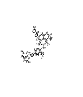 C=C1CN2CC(=C)CC2(COc2nc3c(c(OC)n2)CCN(c2cc(OCOC)cc4ccc(F)c(CC)c24)C3)C1